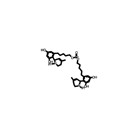 CC1=CC(c2c(O)cc(O)cc2CCCCCO[N+](=O)OCCCCCc2cc(O)cc(O)c2C2C=C(C)CCN2C(C)C)N(C(C)C)CC1